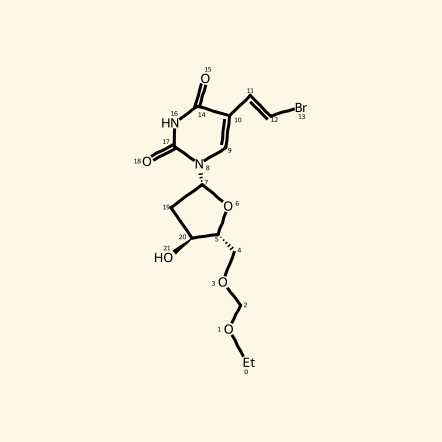 CCOCOC[C@H]1O[C@@H](n2cc(/C=C/Br)c(=O)[nH]c2=O)C[C@@H]1O